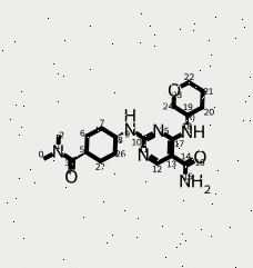 CN(C)C(=O)[C@H]1CC[C@H](Nc2ncc(C(N)=O)c(N[C@@H]3CCCOC3)n2)CC1